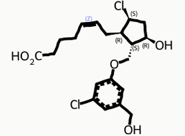 O=C(O)CCC/C=C\C[C@@H]1[C@@H](COc2cc(Cl)cc(CO)c2)[C@H](O)C[C@@H]1Cl